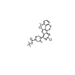 COc1cccc(F)c1-c1c(Cl)cc2c(N3C[C@@H](C)N(C(=O)OC(C)(C)C)C[C@@H]3C)nc(Cl)nc2c1F